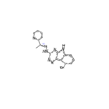 C/C(=N\Nc1nnc2c(n1)[nH]c1cccc(Br)c12)c1ccccn1